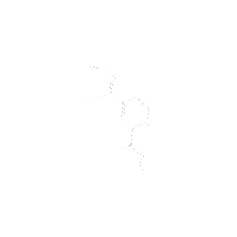 CO/N=C(\C)c1ccnc(C(C)=NO)c1